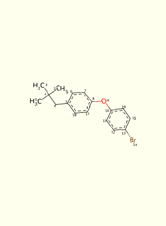 CC(C)(C)Cc1ccc(Oc2ccc(Br)cc2)cc1